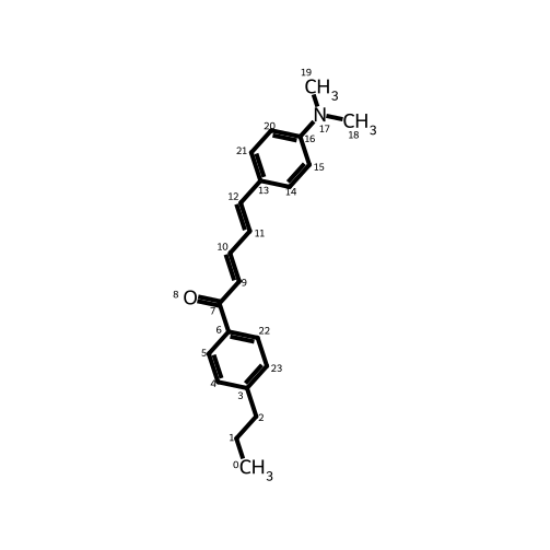 CCCc1ccc(C(=O)/C=C/C=C/c2ccc(N(C)C)cc2)cc1